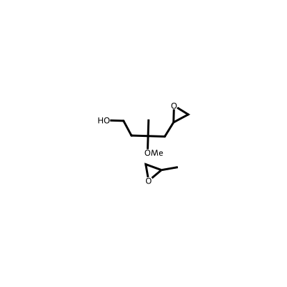 CC1CO1.COC(C)(CCO)CC1CO1